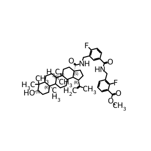 C=C(C)[C@@H]1CC[C@]2(C(=O)NCc3cc(C(=O)NCc4cccc(C(=O)OC)c4F)ccc3F)CC[C@]3(C)C(CCC4[C@@]5(C)CC[C@H](O)C(C)(C)C5CC[C@]43C)C12